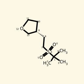 CC(C)(C)S(=O)(=O)CC[C@H]1CCOC1